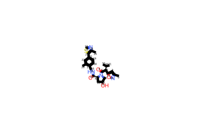 Cc1cc([C@@H](C(=O)N2C[C@H](O)C[C@H]2C(=O)NCc2ccc(-c3scnc3C)cc2C)C(C)C)on1